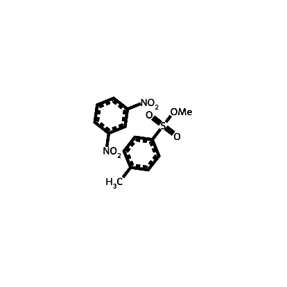 COS(=O)(=O)c1ccc(C)cc1.O=[N+]([O-])c1cccc([N+](=O)[O-])c1